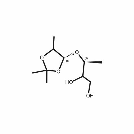 CC1OC(C)(C)O[C@H]1O[C@@H](C)C(O)CO